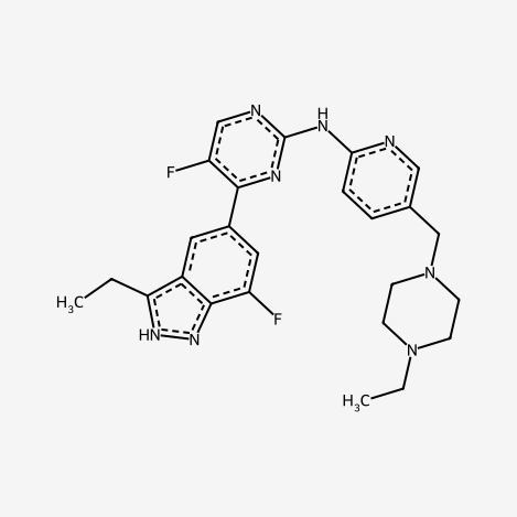 CCc1[nH]nc2c(F)cc(-c3nc(Nc4ccc(CN5CCN(CC)CC5)cn4)ncc3F)cc12